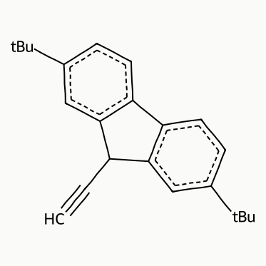 C#CC1c2cc(C(C)(C)C)ccc2-c2ccc(C(C)(C)C)cc21